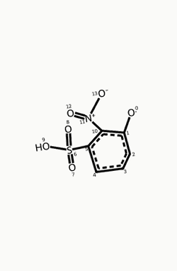 [O]c1cccc(S(=O)(=O)O)c1[N+](=O)[O-]